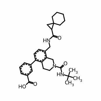 CC(C)(C)NC(=O)N1CCc2c(-c3cccc(C(=O)O)c3)ccc(CNC(=O)C3CC34CCCCC4)c2C1